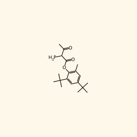 CC(=O)C(P)C(=O)Oc1c(C)cc(C(C)(C)C)cc1C(C)(C)C